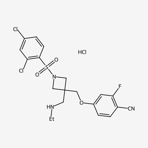 CCNCC1(COc2ccc(C#N)c(F)c2)CN(S(=O)(=O)c2ccc(Cl)cc2Cl)C1.Cl